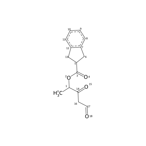 CC(OC(=O)C1Cc2ccccc2C1)C(=O)CC=O